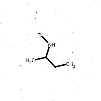 CCC(C)[NH][Ti]